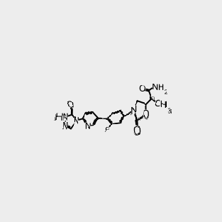 C[C@H](C(N)=O)C1CN(c2ccc(-c3ccc(-n4cn[nH]c4=O)nc3)c(F)c2)C(=O)O1